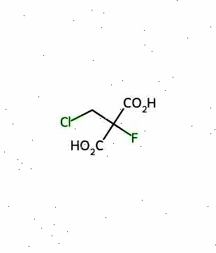 O=C(O)C(F)(CCl)C(=O)O